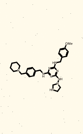 COc1ccc(CNc2nc(NCc3ccc(CN4CCCCC4)cc3)nc(NN3CCNC3)n2)cc1